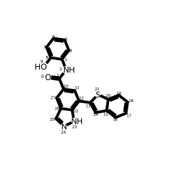 O=C(Nc1ccccc1O)c1cc(-c2cc3ccccc3s2)c2[nH]ncc2c1